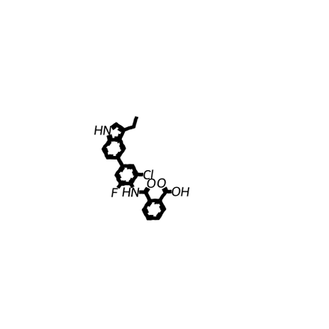 CCc1c[nH]c2ccc(-c3cc(F)c(NC(=O)c4ccccc4C(=O)O)c(Cl)c3)cc12